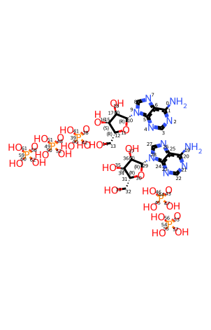 Nc1ncnc2c1ncn2[C@@H]1O[C@H](CO)[C@@H](O)[C@H]1O.Nc1ncnc2c1ncn2[C@@H]1O[C@H](CO)[C@@H](O)[C@H]1O.O=P(O)(O)O.O=P(O)(O)O.O=P(O)(O)O.O=P(O)(O)O.O=P(O)(O)O